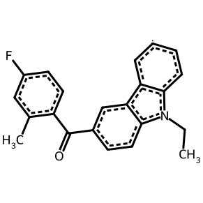 CCn1c2cc[c]cc2c2cc(C(=O)c3ccc(F)cc3C)ccc21